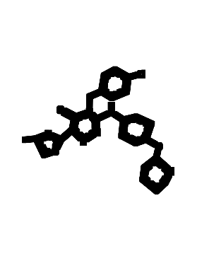 Cc1coc(-c2nnc(Nc3ccc(Oc4ccccn4)cc3)n(Cc3ccc(Cl)cc3)c2=O)n1